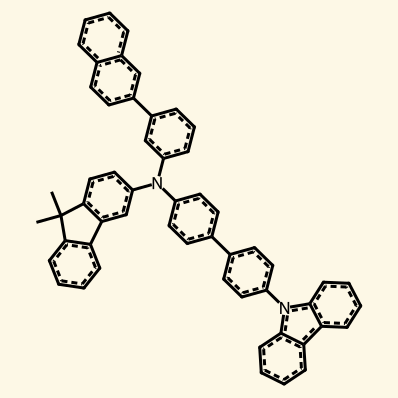 CC1(C)c2ccccc2-c2cc(N(c3ccc(-c4ccc(-n5c6ccccc6c6ccccc65)cc4)cc3)c3cccc(-c4ccc5ccccc5c4)c3)ccc21